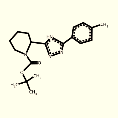 Cc1ccc(-c2nnc(C3CCCCN3C(=O)OC(C)(C)C)[nH]2)cc1